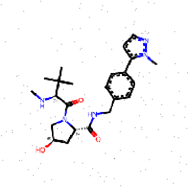 CN[C@H](C(=O)N1C[C@H](O)C[C@H]1C(=O)NCc1ccc(-c2ccnn2C)cc1)C(C)(C)C